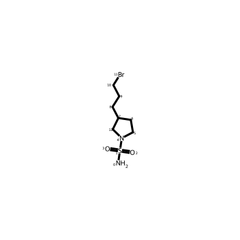 NS(=O)(=O)N1CCC(CCCBr)C1